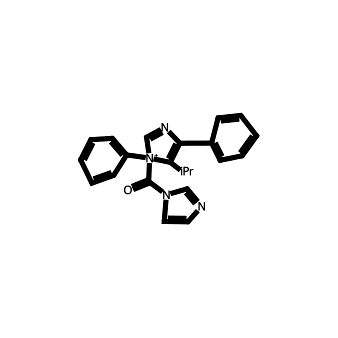 CC(C)C1=C(c2ccccc2)N=C[N+]1(C(=O)n1ccnc1)c1ccccc1